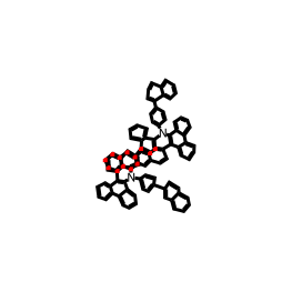 c1ccc2cc(-c3ccc(N(c4cccc5ccccc45)c4c(-c5cccc6cc(-c7ccc(N(c8ccc(-c9cccc%10ccccc9%10)cc8)c8c(-c9ccc%10ccccc%10c9)c9ccccc9c9ccccc89)c8ccccc78)ccc56)c5ccccc5c5ccccc45)cc3)ccc2c1